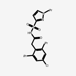 CC(C)c1cc(Cl)cc(C(C)C)c1CC(=O)NS(=O)(=O)c1ccn(C(C)C)n1